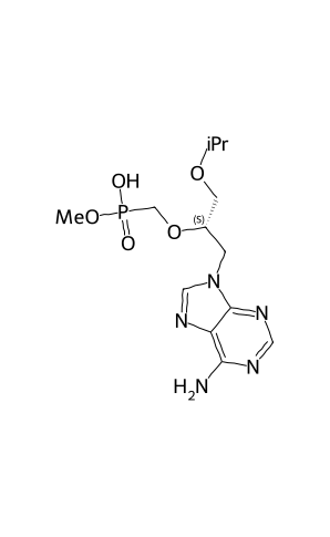 COP(=O)(O)CO[C@H](COC(C)C)Cn1cnc2c(N)ncnc21